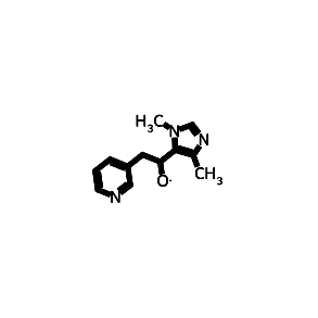 Cc1ncn(C)c1C([O])Cc1cccnc1